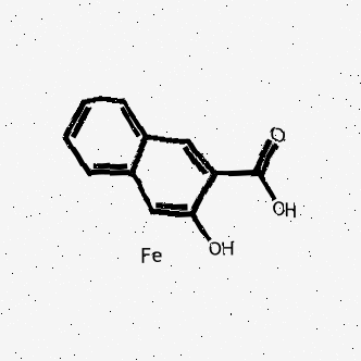 O=C(O)c1cc2ccccc2cc1O.[Fe]